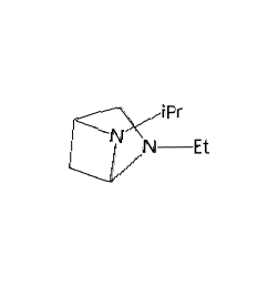 CCN1CC2CC1N2C(C)C